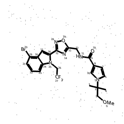 COCC(C)(C)n1ccc(C(=O)NCc2nc(-c3cc4c(Br)cccc4n3CC(F)(F)F)no2)c1